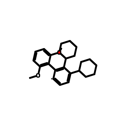 COc1cccc(OC)c1-c1[c]ccc(C2CCCCC2)c1C1CCCCC1